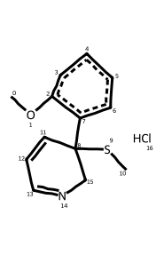 COc1ccccc1C1(SC)C=CC=NC1.Cl